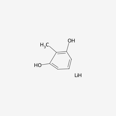 Cc1c(O)cccc1O.[LiH]